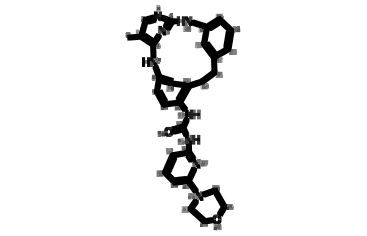 Cc1cnc2nc1Nc1ccc(NC(=O)Nc3cccc(N4CCOCC4)n3)c(c1)CCc1cccc(c1)N2